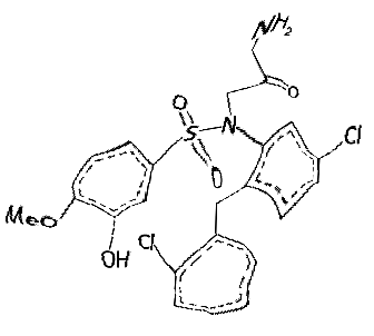 COc1ccc(S(=O)(=O)N(CC(N)=O)c2cc(Cl)ccc2Cc2ccccc2Cl)cc1O